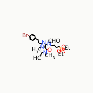 C#CCN(C)C(=O)c1c(N(C=O)CCCCP(=O)(OCC)OCC)nc(CCc2ccc(Br)cc2)n1C